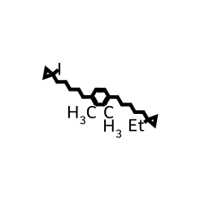 CCC1(CCCCCc2ccc(CCCCCC3(I)CC3)c(C)c2C)CC1